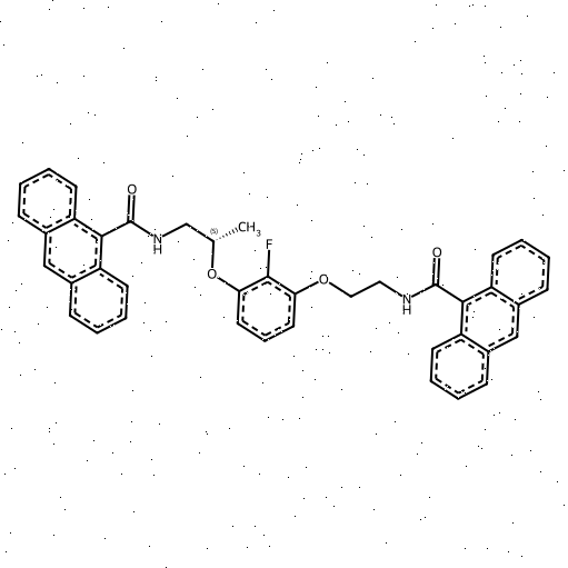 C[C@@H](CNC(=O)c1c2ccccc2cc2ccccc12)Oc1cccc(OCCNC(=O)c2c3ccccc3cc3ccccc23)c1F